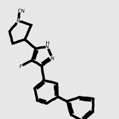 N#CN1CCC(c2[nH]nc(-c3cccc(-c4ccccc4)c3)c2F)C1